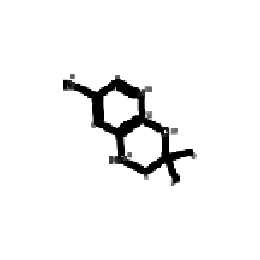 CC1(C)CNc2cc(Br)cnc2O1